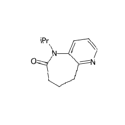 CC(C)N1C(=O)CCCc2ncccc21